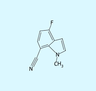 Cn1ccc2c(F)ccc(C#N)c21